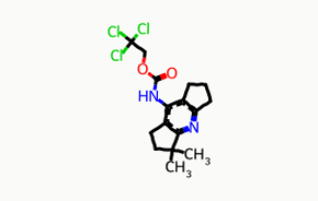 CC1(C)CCc2c1nc1c(c2NC(=O)OCC(Cl)(Cl)Cl)CCC1